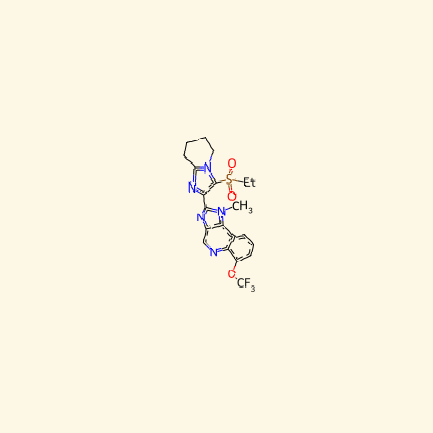 CCS(=O)(=O)c1c(-c2nc3cnc4c(OC(F)(F)F)cccc4c3n2C)nc2n1CCCC2